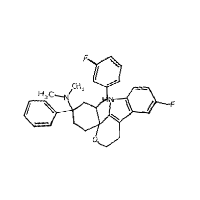 CN(C)C1(c2ccccc2)CCC2(OCCc3c2[nH]c2ccc(F)cc32)C(Cc2cccc(F)c2)C1